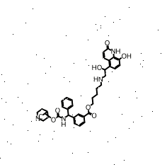 O=C(NC(c1ccccc1)c1cccc(C(=O)OCCCCCNCC(O)c2ccc(O)c3[nH]c(=O)ccc23)c1)OC1CN2CCC1CC2